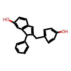 Oc1ccc(CC2=Cc3ccc(O)cc3C2c2ccccc2)cc1